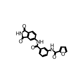 O=C(Nc1ccc2c(c1)C(=O)NC2=O)c1cccc(NC(=O)c2ccco2)c1